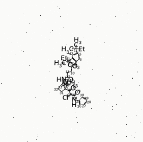 CCC(C)(C)c1ccc(OCCCC(=O)NC2CC3(C(=O)C(Cl)C(=O)Nc4ccccc4)CCC2C3(C)C)c(C(C)(C)CC)c1